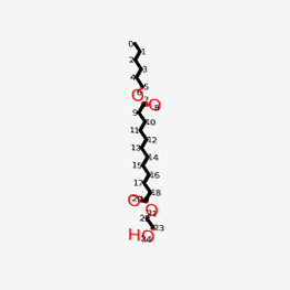 CCCCCCOC(=O)CCCCCCCCCCC(=O)OCCO